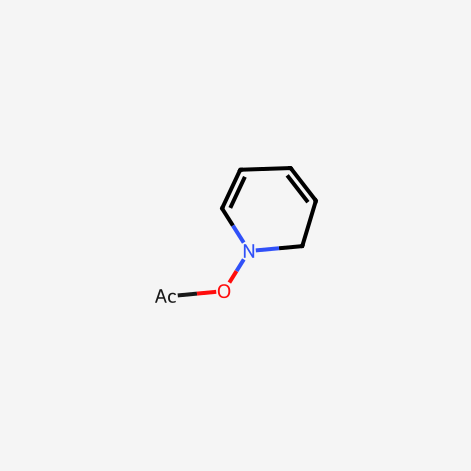 CC(=O)ON1C=CC=CC1